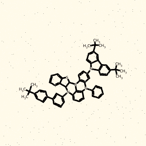 CC(C)(C)c1ccc(-c2cccc(N3c4cccc5c4B(c4ccc(-n6c7ccc(C(C)(C)C)cc7c7cc(C(C)(C)C)ccc76)cc4N5c4ccccc4)C4Sc5ccccc5C43)c2)cc1